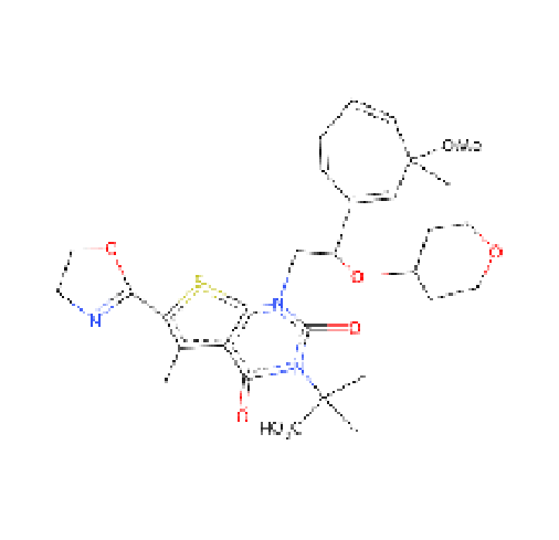 COC1(C)C=CC=CC(C(Cn2c(=O)n(C(C)(C)C(=O)O)c(=O)c3c(C)c(C4=NCCO4)sc32)OC2CCOCC2)=C1